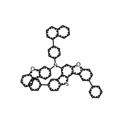 c1ccc(-c2ccc3sc4c(c(N(c5ccc(-c6cccc7ccccc67)cc5)c5ccc6c(c5)oc5ccccc56)cc5oc6ccc(-c7ccccc7)cc6c54)c3c2)cc1